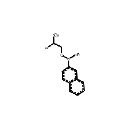 CCCCC(CC)CON(CCC)c1ccc2ccccc2c1